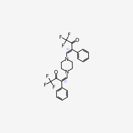 O=C(/C(=C\N1CCN(/C=C(/C(=O)C(F)(F)F)c2ccccc2)CC1)c1ccccc1)C(F)(F)F